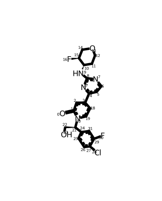 O=c1cc(-c2ccnc(N[C@H]3CCOC[C@@H]3F)n2)ccn1[C@H](CO)c1ccc(Cl)c(F)c1